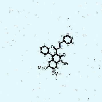 COc1cc2c(-c3ccccc3)c(C(=O)/C=C/c3ccncc3)c(=O)n(C(C)C)c2cc1OC